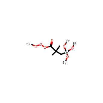 CCO[Si](CC(C)(C)C(=O)OOOC(C)(C)C)(OCC)OCC